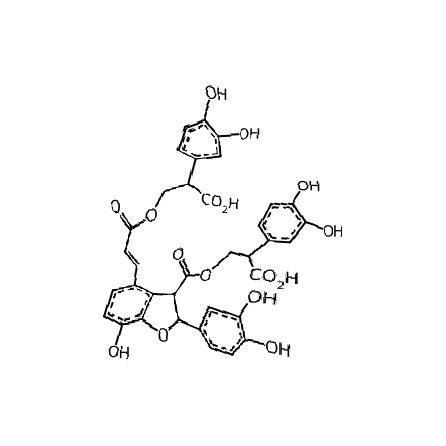 O=C(C=Cc1ccc(O)c2c1C(C(=O)OCC(C(=O)O)c1ccc(O)c(O)c1)C(c1ccc(O)c(O)c1)O2)OCC(C(=O)O)c1ccc(O)c(O)c1